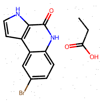 CCC(=O)O.O=c1[nH]c2ccc(Br)cc2c2cc[nH]c12